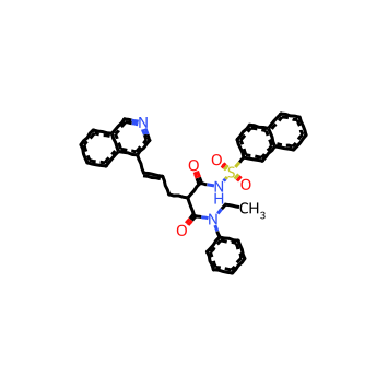 CCN(C(=O)C(CC=Cc1cncc2ccccc12)C(=O)NS(=O)(=O)c1ccc2ccccc2c1)c1ccccc1